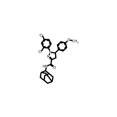 COc1ccc(C2CC(C(=O)NC3C4CC5CC(C4)CC3C5)=NN2c2ccc(Cl)cc2Cl)cc1